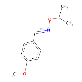 COc1ccc(/[C]=N/OC(C)C)cc1